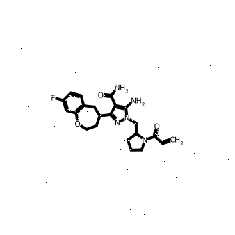 C=CC(=O)N1CCCC1Cn1nc(C2CCOc3cc(F)ccc3C2)c(C(N)=O)c1N